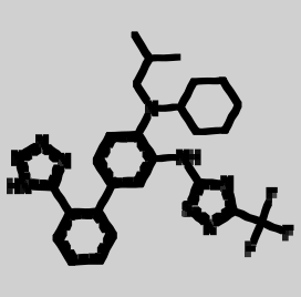 CC(C)CN(c1ccc(-c2ccccc2-c2nnn[nH]2)cc1Nc1nc(C(F)(F)F)ns1)C1CCCCC1